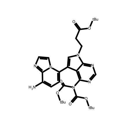 CC(C)(C)OC(=O)CCn1cc(-c2ccc(N)c3nccn23)c2c(N(C(=O)OC(C)(C)C)C(=O)OC(C)(C)C)ncnc21